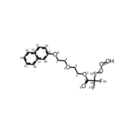 O=C(OCCOCCOc1ccc2ccccc2c1)C(F)(F)SOOO